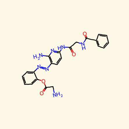 NCC(=O)Oc1ccccc1/N=N/c1ccc(NC(=O)CNC(=O)c2ccccc2)nc1N